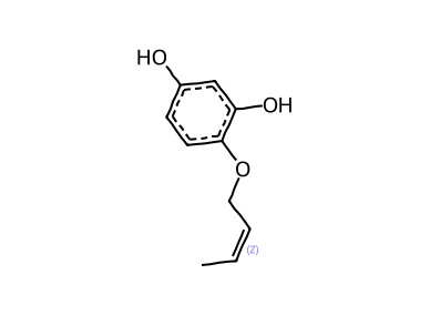 C/C=C\COc1ccc(O)cc1O